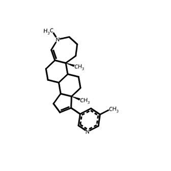 Cc1cncc(C2=CCC3C4CCC5=CN(C)CCC[C@]5(C)C4CC[C@]23C)c1